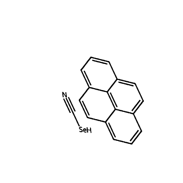 N#C[SeH].c1cc2ccc3cccc4ccc(c1)c2c34